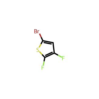 Fc1cc(Br)sc1F